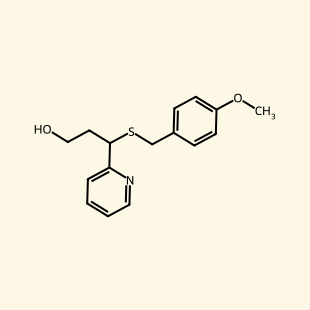 COc1ccc(CSC(CCO)c2ccccn2)cc1